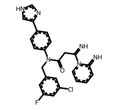 N=C(CC(=O)N(Cc1cc(F)cc(Cl)c1)c1ccc(-c2c[nH]cn2)cc1)n1ccccc1=N